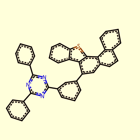 c1ccc(-c2nc(-c3ccccc3)nc(-c3cccc(-c4cc5ccc6ccccc6c5c5sc6ccccc6c45)c3)n2)cc1